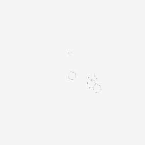 COCCOC(Cc1ccc(OCc2nc3ccccc3c(=O)n2C)cc1)C(=O)O